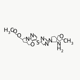 COCOCC1CC2COc3c(Sc4cnc(N5CCC6(CC5)COC(C)C6N)cn4)ccnc3N2C1